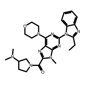 CCc1nc2ccccc2n1-c1nc(N2CCOCC2)c2nc(C(=O)N3CCC(N(C)C)C3)n(C)c2n1